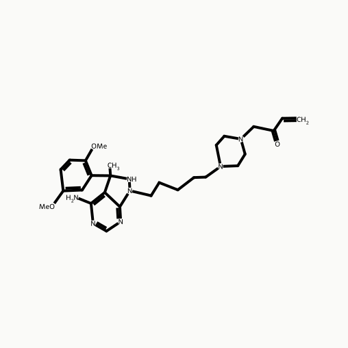 C=CC(=O)CN1CCN(CCCCCN2NC(C)(c3cc(OC)ccc3OC)c3c(N)ncnc32)CC1